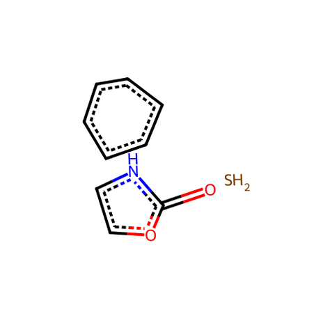 O=c1[nH]cco1.S.c1ccccc1